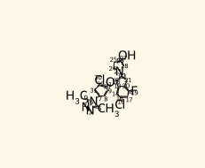 Cc1nnc(C)n1-c1ccc(O[C@H]2c3cc(Cl)cc(F)c3C[C@@H]2N2CC[C@@H](O)C2)c(Cl)c1